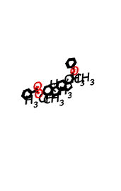 C[C@H](COc1ccccc1)[C@H]1CCC2=C3C=C[C@H]4C(C)(C)[C@@H](OC(=O)c5ccccc5)CC[C@]4(C)[C@H]3CC[C@@]21C